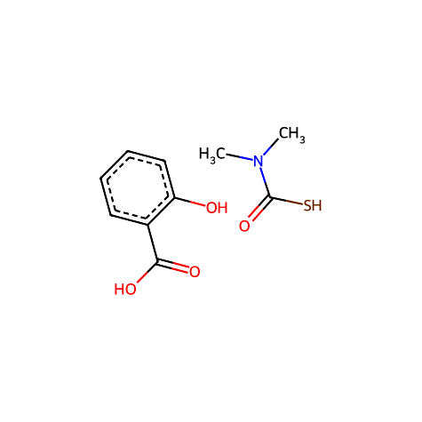 CN(C)C(=O)S.O=C(O)c1ccccc1O